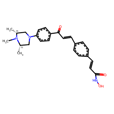 C[C@@H]1CN(c2ccc(C(=O)C=Cc3ccc(C=CC(=O)NO)cc3)cc2)C[C@H](C)N1C